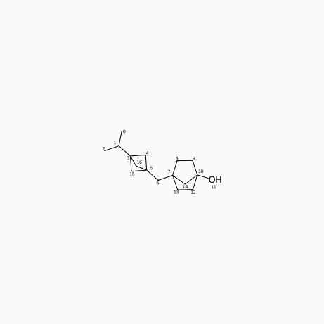 CC(C)C12CC(CC34CCC(O)(CC3)C4)(C1)C2